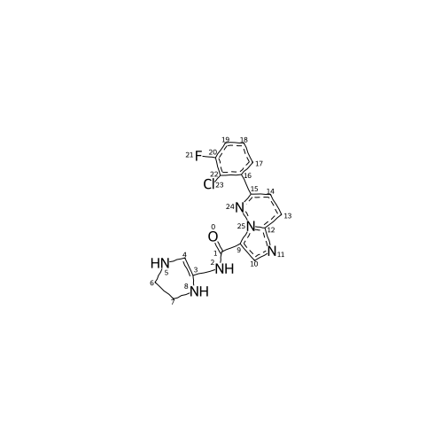 O=C(NC1=CNCCN1)c1cnc2ccc(-c3cccc(F)c3Cl)nn12